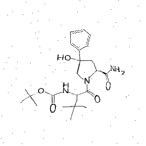 CC(C)(C)OC(=O)NC(C(=O)N1CC(O)(c2ccccc2)C[C@H]1C(N)=O)C(C)(C)C